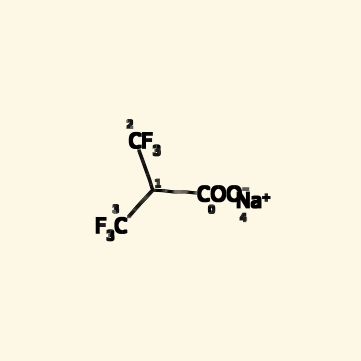 O=C([O-])C(C(F)(F)F)C(F)(F)F.[Na+]